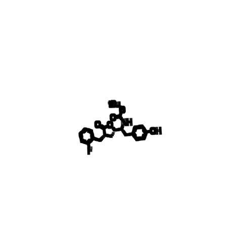 CC(C)(C)OC(=O)N[C@@H](Cc1ccc(O)cc1)[C@@H]1C[C@@H](Cc2ccccc2F)C(=O)O1